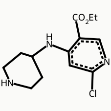 CCOC(=O)c1cnc(Cl)cc1NC1CCNCC1